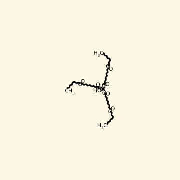 CCCCC/C=C\CCOC(=O)CCCCCCCC(=O)OCC(CO)(COC(=O)CCCCCCCC(=O)OCC/C=C\CCCCC)COC(=O)CCCCCCCC(=O)OCC/C=C\CCCCC